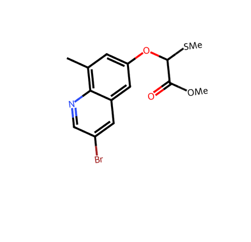 COC(=O)C(Oc1cc(C)c2ncc(Br)cc2c1)SC